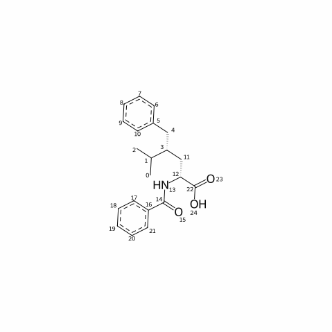 CC(C)[C@H](Cc1ccccc1)C[C@@H](NC(=O)c1ccccc1)C(=O)O